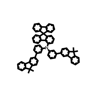 CC1(C)c2ccccc2-c2cc(-c3cccc(N(c4cccc(-c5ccc6c(c5)-c5ccccc5C6(C)C)c4)c4cccc5c4-c4ccccc4C54c5ccccc5-c5ccccc54)c3)ccc21